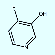 Oc1cnccc1F